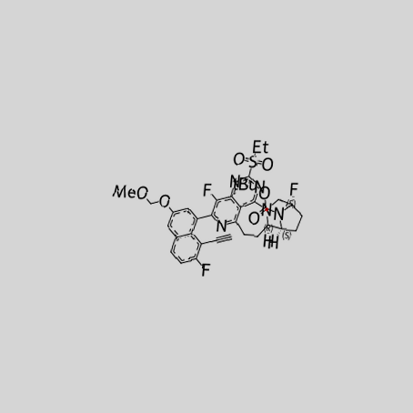 C#Cc1c(F)ccc2cc(OCOC)cc(-c3nc4c5c(nc(S(=O)(=O)CC)nc5c3F)N3C[C@@]5(F)CC[C@@H]([C@H]3CC4)N5C(=O)OC(C)(C)C)c12